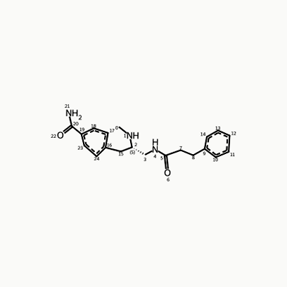 CN[C@H](CNC(=O)CCc1ccccc1)Cc1ccc(C(N)=O)cc1